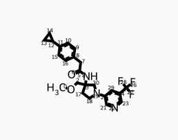 COCC1(NC(=O)Cc2ccc(C3CC3)cc2)CCN(c2cncc(C(F)(F)F)c2)C1